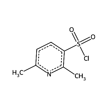 Cc1ccc(S(=O)(=O)Cl)c(C)n1